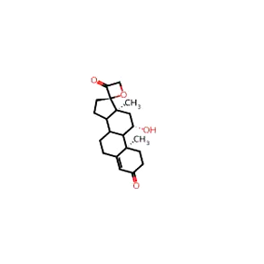 C[C@]12CCC(=O)C=C1CCC1C2[C@@H](O)C[C@@]2(C)C1CC[C@@]21OCC1=O